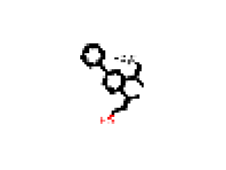 C/C(=C/CO)c1ccc(-c2ccccc2)cc1/C(C)=C\C(=O)O